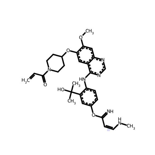 C=CC(=O)N1CCC(Oc2cc3c(Nc4ccc(OC(=N)/C=C\NC)cc4C(C)(C)O)ncnc3cc2OC)CC1